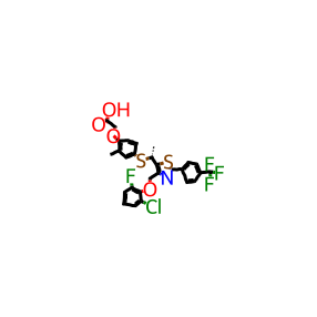 Cc1cc(S[C@H](C)c2sc(-c3ccc(C(F)(F)F)cc3)nc2COc2c(F)cccc2Cl)ccc1OCC(=O)O